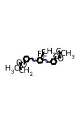 C=C(C)C(=O)Oc1cccc(/C=C/c2ccc(/C=C/c3cccc(OC(=O)C(=C)C)c3)c(C(F)(F)F)c2)c1